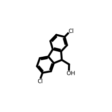 OCC1c2cc(Cl)ccc2-c2ccc(Cl)cc21